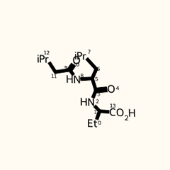 CCC(NC(=O)C(CC(C)C)NC(=O)CC(C)C)C(=O)O